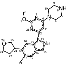 COc1nc(N2CCNCC2)cc(-n2ncc3cc(C)c(C4CCOC4)cc32)n1